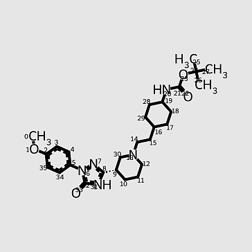 COc1ccc(-n2nc([C@H]3CCCN(CCC4CCC(NC(=O)OC(C)(C)C)CC4)C3)[nH]c2=O)cc1